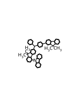 CC1(C)c2ccccc2-c2ccc(-c3ccc(C(c4ccccc4)c4ccc5c(c4)C(C)(C)c4cccc(-n6c7ccccc7c7ccccc76)c4-5)cc3)cc21